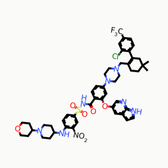 CC1(C)CCC(CN2CCN(c3ccc(C(=O)NS(=O)(=O)c4ccc(NC5CCN(C6CCOCC6)CC5)c([N+](=O)[O-])c4)c(Oc4cnc5[nH]ccc5c4)c3)CC2)=C(c2ccc(C(F)(F)F)cc2Cl)C1